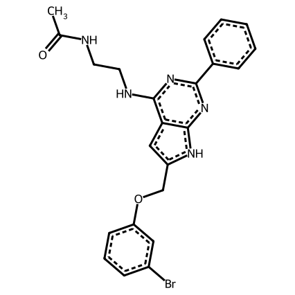 CC(=O)NCCNc1nc(-c2ccccc2)nc2[nH]c(COc3cccc(Br)c3)cc12